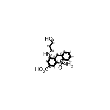 NS(=O)(=O)c1cc(C(=O)O)cc(NCCCO)c1Cc1ccccc1